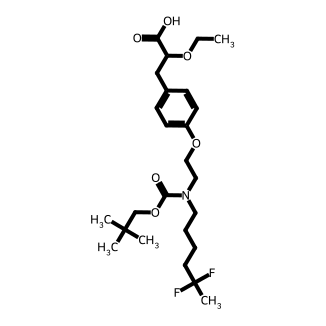 CCOC(Cc1ccc(OCCN(CCCCC(C)(F)F)C(=O)OCC(C)(C)C)cc1)C(=O)O